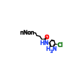 CCCCCCCCCCCCCC(=O)Nc1ccc(Cl)c(N)c1